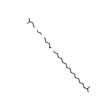 CC(C)CCCCCCCCCCCCCCCOC(=O)CCCOCCOCCC(C)C